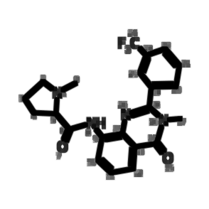 CN1CCCC1C(=O)Nc1cccc2c(=O)n(C)c(-c3cccc(C(F)(F)F)c3)nc12